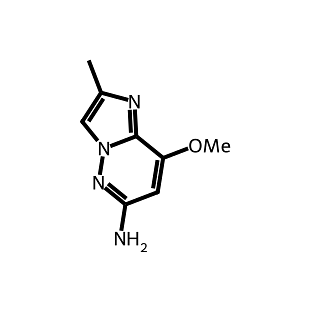 COc1cc(N)nn2cc(C)nc12